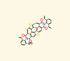 C=Cc1cccc(C=C)c1-n1c(=O)c2cc3sc4cc5c(=O)n(-c6c(C=C)cccc6C(C)C)c(=O)c6cc7sc8cc(c1=O)c2c1c3c4c(c56)c7c81